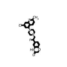 Cc1ccc2c(N3CCN(CC(F)c4ccc5c(c4)NC(=O)CO5)CC3)cc(Cl)cc2n1